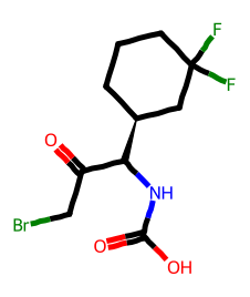 O=C(O)NC(C(=O)CBr)[C@H]1CCCC(F)(F)C1